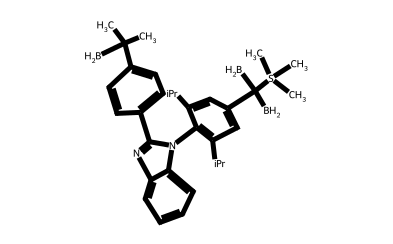 BC(C)(C)c1ccc(-c2nc3ccccc3n2-c2c(C(C)C)cc(C(B)(B)S(C)(C)C)cc2C(C)C)cc1